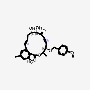 COc1ccc(CO[C@@H]2/C=C\C(=O)[C@@H](O)[C@@H](O)C/C=C/c3cc(C)cc(O)c3C(=O)OC2C)cc1